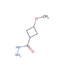 COC1CC(C(=O)NN)C1